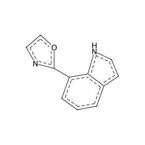 c1cc(-c2ncco2)c2[nH]ccc2c1